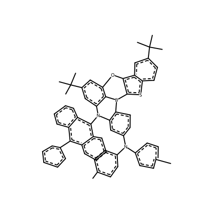 Cc1ccc(N(c2ccc(C)cc2)c2ccc3c(c2)N(c2c4ccccc4c(-c4ccccc4)c4ccccc24)c2cc(C(C)(C)C)cc4c2B3c2sc3ccc(C(C)(C)C)cc3c2O4)cc1